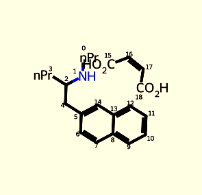 CCCNC(CCC)Cc1ccc2ccccc2c1.O=C(O)/C=C\C(=O)O